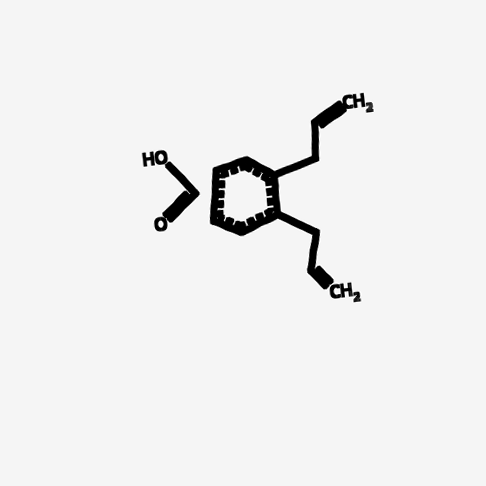 C=CCc1ccccc1CC=C.O=CO